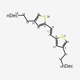 CCCCCCCCCCCCc1csc(/C=C/c2cc(CCCCCCCCCCCC)cs2)c1